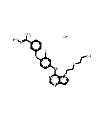 CC(=NO)c1cccc(Oc2ccc(Nc3ncnc4ccn(CCOCCO)c34)cc2Cl)c1.Cl